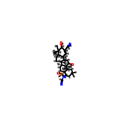 CC1(C)CC[C@]2(S(C)(=O)=NC#N)CC[C@]3(C)[C@H](C(=O)C=C4[C@@]5(C)C=C(C#N)C(=O)C(C)(C)[C@@H]5CC[C@]43C)[C@@H]2C1